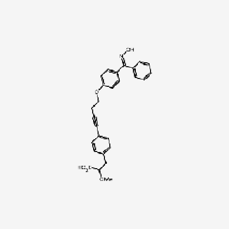 COC(Cc1ccc(C#CCCOc2ccc(/C(=N/O)c3ccccc3)cc2)cc1)C(=O)O